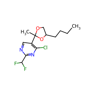 CCCCC1COC(C)(c2cnc(C(F)F)nc2Cl)O1